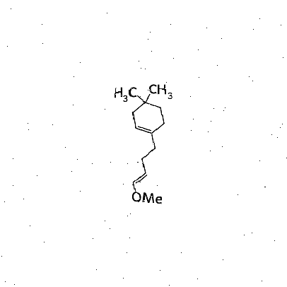 COC=CCCC1=CCC(C)(C)CC1